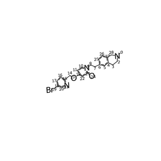 CN1CCc2cc(CCn3ccc(OCc4ccc(Br)cn4)cc3=O)ccc2C1